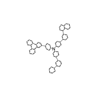 c1ccc(-c2cccc(-c3ccc(N(c4ccc(-c5cccc(-c6cccc7ccccc67)c5)cc4)c4ccc(-c5ccc6c7ccccc7c7ccccc7c6c5)cc4)cc3)c2)cc1